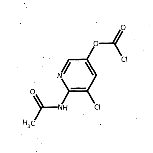 CC(=O)Nc1ncc(OC(=O)Cl)cc1Cl